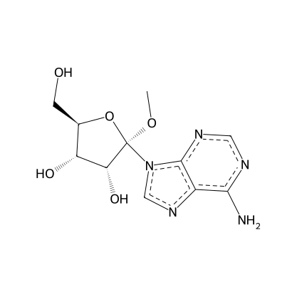 CO[C@@]1(n2cnc3c(N)ncnc32)O[C@H](CO)[C@@H](O)[C@H]1O